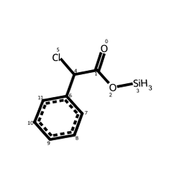 O=C(O[SiH3])C(Cl)c1ccccc1